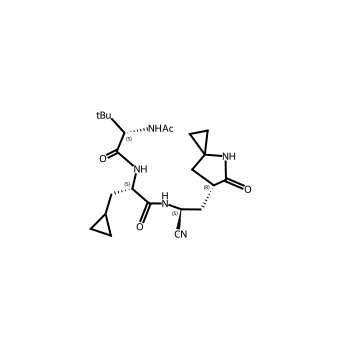 CC(=O)N[C@H](C(=O)N[C@@H](CC1CC1)C(=O)N[C@H](C#N)C[C@@H]1CC2(CC2)NC1=O)C(C)(C)C